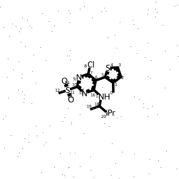 Cc1ccsc1-c1c(Cl)nc(S(C)(=O)=O)nc1NC(C)C(C)C